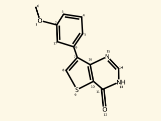 COc1cccc(-c2csc3c(=O)[nH]cnc23)c1